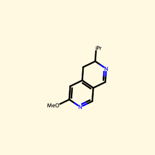 COc1cc2c(cn1)C=NC(C(C)C)C2